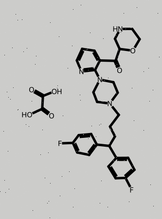 O=C(O)C(=O)O.O=C(c1cccnc1N1CCN(CCCC(c2ccc(F)cc2)c2ccc(F)cc2)CC1)C1CNCCO1